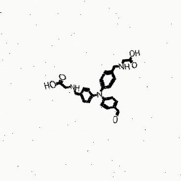 O=Cc1ccc(N(c2ccc(CNCC(=O)O)cc2)c2ccc(CNCC(=O)O)cc2)cc1